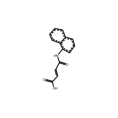 O=C(O)/C=C/C(=O)Nc1cccc2ccccc12